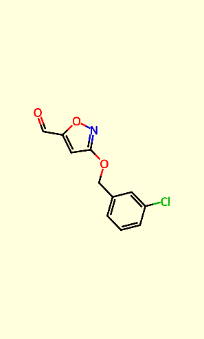 O=Cc1cc(OCc2cccc(Cl)c2)no1